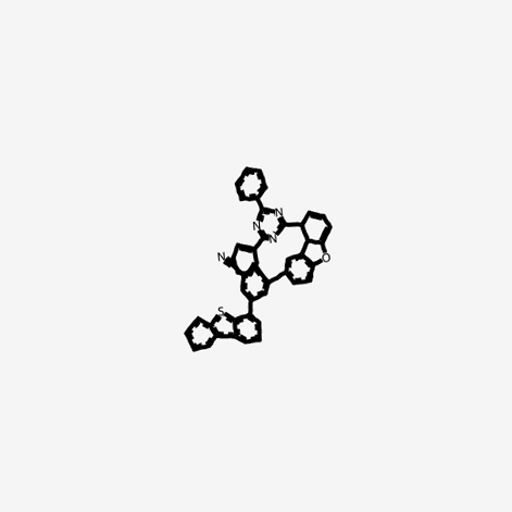 N#Cc1cc(-c2ccc3c(c2)C2C(=CC=CC2c2nc(C4=CCCC=C4)nc(-c4ccccc4)n2)O3)cc(-c2cccc3c2sc2ccccc23)c1